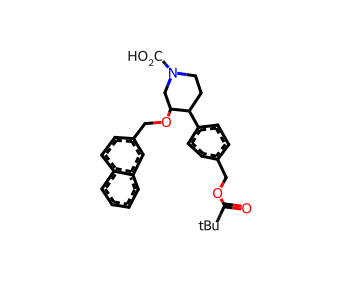 CC(C)(C)C(=O)OCc1ccc(C2CCN(C(=O)O)CC2OCc2ccc3ccccc3c2)cc1